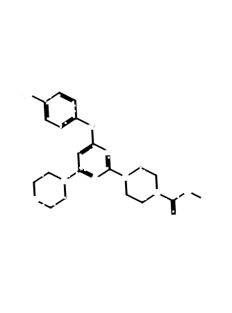 Cc1ccc(Nc2cc(N3CCOCC3)nc(N3CCN(C(=O)OC(C)(C)C)CC3)n2)cc1